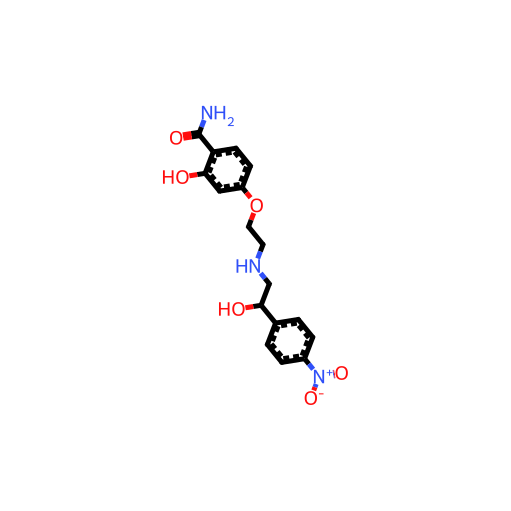 NC(=O)c1ccc(OCCNCC(O)c2ccc([N+](=O)[O-])cc2)cc1O